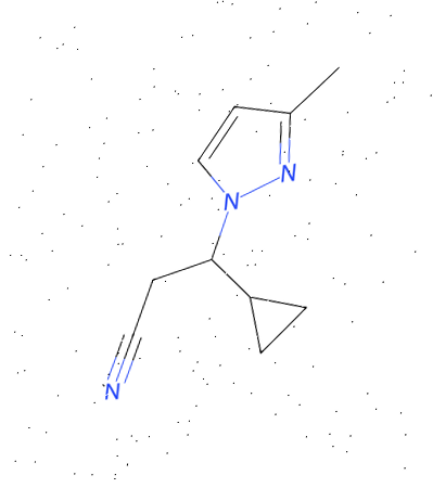 Cc1ccn(C(CC#N)C2CC2)n1